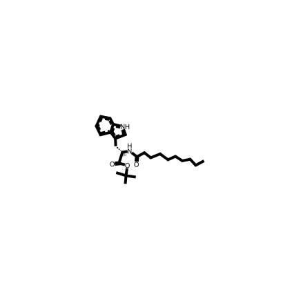 CCCCCCCCCC(=O)N[C@@H](Cc1c[nH]c2ccccc12)C(=O)OC(C)(C)C